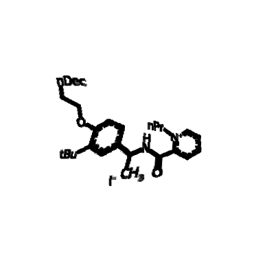 CCCCCCCCCCCCOc1ccc(C(C)NC(=O)c2cccc[n+]2CCC)cc1C(C)(C)C.[I-]